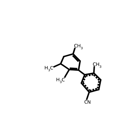 CC1=CC(c2cc(C#N)ccc2C)=C(C)C(C)C1